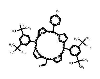 CC(C)(C)c1cc(-c2c3nc(c(-c4ccccc4)c4ccc([nH]4)c(-c4cc(C(C)(C)C)cc(C(C)(C)C)c4)c4nc(c(C=O)c5ccc2[nH]5)C=C4)C=C3)cc(C(C)(C)C)c1.[Cu]